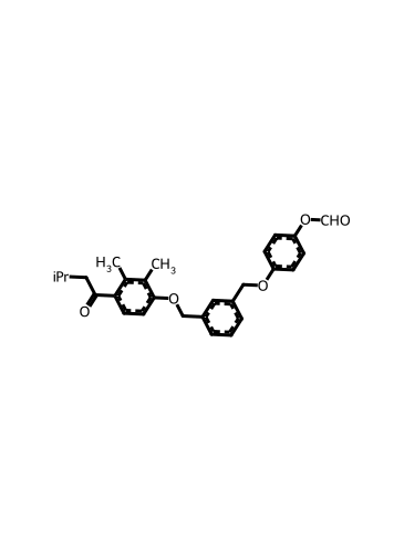 Cc1c(OCc2cccc(COc3ccc(OC=O)cc3)c2)ccc(C(=O)CC(C)C)c1C